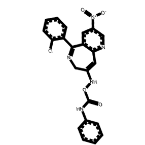 O=C(Nc1ccccc1)ONC1=Cc2ncc([N+](=O)[O-])cc2C(c2ccccc2Cl)=NC1